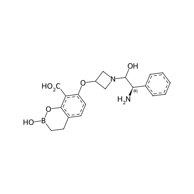 N[C@H](c1ccccc1)C(O)N1CC(Oc2ccc3c(c2C(=O)O)OB(O)CC3)C1